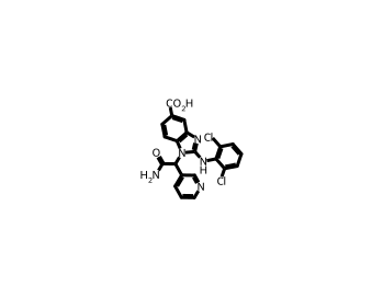 NC(=O)C(c1cccnc1)n1c(Nc2c(Cl)cccc2Cl)nc2cc(C(=O)O)ccc21